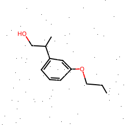 CCCOc1cccc([C](C)CO)c1